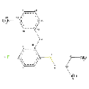 CCCCC(CN=O)CSc1ccc(F)cc1Cc1cccc([N+](=O)[O-])c1